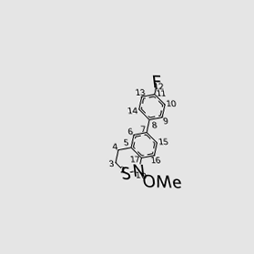 CON1SCCc2cc(-c3ccc(F)cc3)ccc21